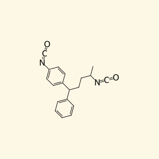 CC(CCC(c1ccccc1)c1ccc(N=C=O)cc1)N=C=O